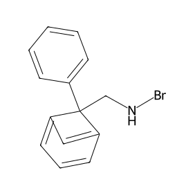 BrNCC1(c2ccccc2)C2=CC=CC1=C2